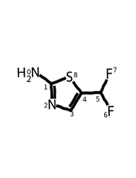 Nc1ncc(C(F)F)s1